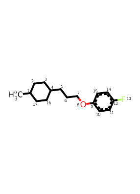 CC1CCC(CCCOc2ccc(F)cc2)CC1